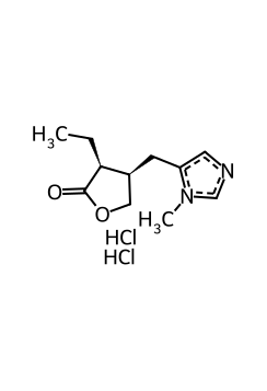 CC[C@@H]1C(=O)OC[C@@H]1Cc1cncn1C.Cl.Cl